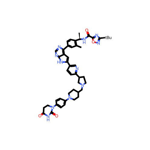 Cc1cc(-c2ncnc3[nH]c(-c4ccc(C5CCN(CC6CCN(c7ccc(N8CCC(=O)NC8=O)cc7)CC6)C5)nc4)cc23)ccc1[C@@H](C)NC(=O)c1nc(C(C)(C)C)no1